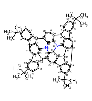 CC(C)(C)c1ccc2c(c1)-c1cc3c4c5c1B2c1ccc2c6c1N5c1c(cc5c7c1N6c1c6c(cc8c1B7c1c-8cc(C(C)(C)C)cc1-5)-c1cc(C(C)(C)C)ccc1B26)B4c1ccc(C(C)(C)C)cc1-3